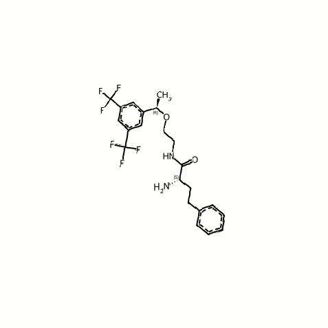 C[C@@H](OCCNC(=O)[C@@H](N)CCc1ccccc1)c1cc(C(F)(F)F)cc(C(F)(F)F)c1